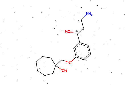 NCC[C@@H](O)c1cccc(OCC2(O)CCCCCC2)c1